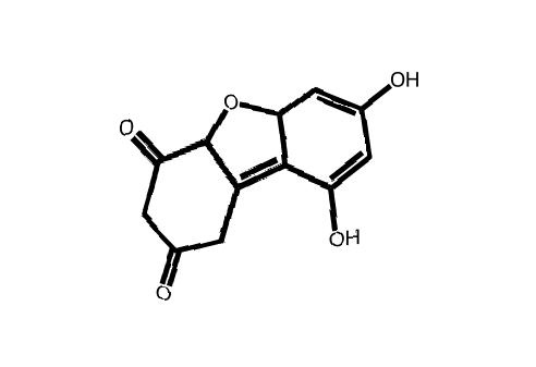 O=C1CC(=O)C2OC3C=C(O)C=C(O)C3=C2C1